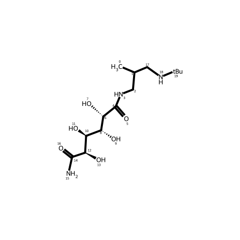 CC(CNC(=O)[C@@H](O)[C@H](O)[C@H](O)[C@@H](O)C(N)=O)CNC(C)(C)C